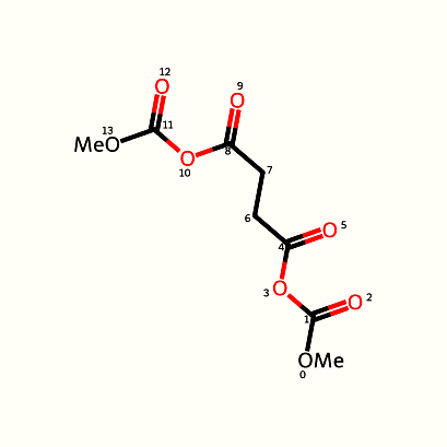 COC(=O)OC(=O)CCC(=O)OC(=O)OC